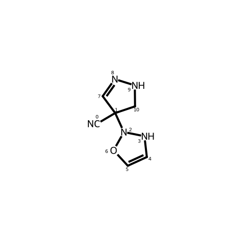 N#CC1(N2NC=CO2)C=NNC1